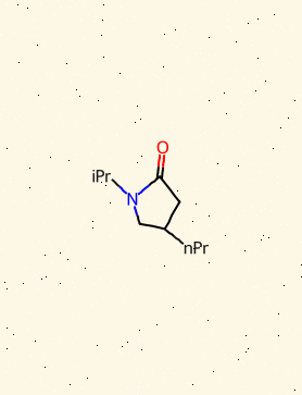 CCCC1CC(=O)N(C(C)C)C1